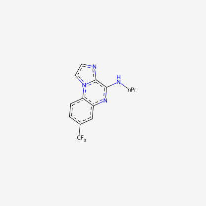 CCCNc1nc2cc(C(F)(F)F)ccc2n2ccnc12